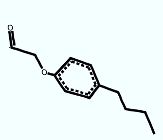 CCCCc1ccc(OC[C]=O)cc1